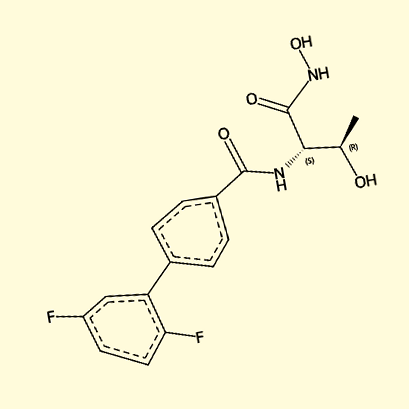 C[C@@H](O)[C@H](NC(=O)c1ccc(-c2cc(F)ccc2F)cc1)C(=O)NO